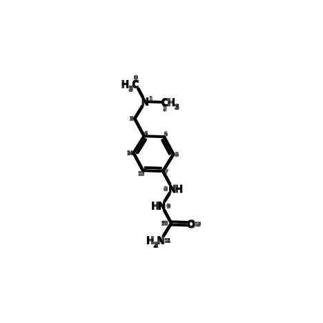 CN(C)Cc1ccc(NNC(N)=O)cc1